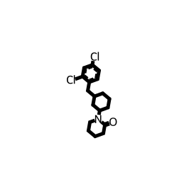 O=C1CCCCN1C1CCCC(Cc2ccc(Cl)cc2Cl)C1